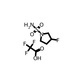 NS(=O)(=O)N1CCC(F)C1.O=C(O)C(F)(F)F